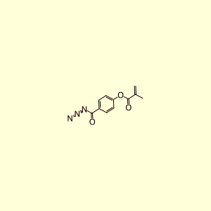 C=C(C)C(=O)Oc1ccc(C(=O)N=[N+]=[N-])cc1